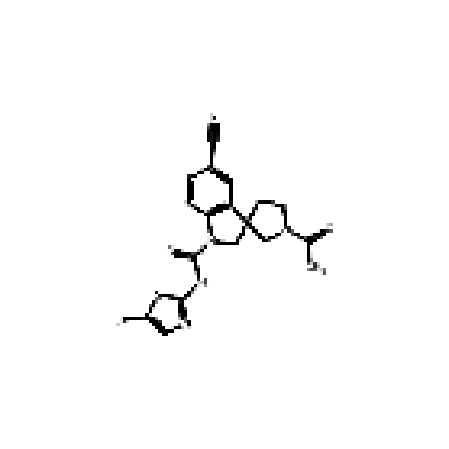 CC(=O)N1CCC2(C1)CN(C(=O)Nc1ncc(Cl)s1)c1ccc(C#N)cc12